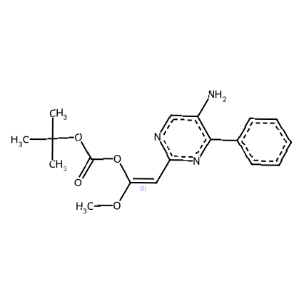 CO/C(=C/c1ncc(N)c(-c2ccccc2)n1)OC(=O)OC(C)(C)C